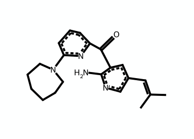 CC(C)=Cc1cnc(N)c(C(=O)c2cccc(N3CCCCCC3)n2)c1